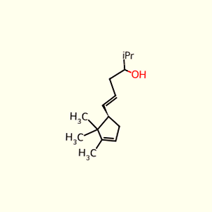 CC1=CC[C@H](C=CCC(O)C(C)C)C1(C)C